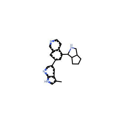 Cc1c[nH]c2ncc(-c3cc(C4NCC5CCCC54)c4ccncc4c3)cc12